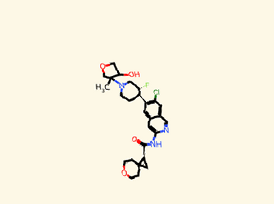 CC1(N2CC[C@H](c3cc4cc(NC(=O)[C@H]5CC56CCOCC6)ncc4cc3Cl)[C@@H](F)C2)COCC1O